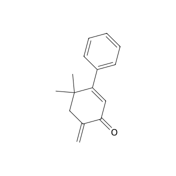 C=C1CC(C)(C)C(c2ccccc2)=CC1=O